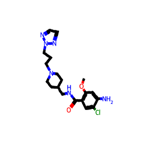 COc1cc(N)c(Cl)cc1C(=O)NCC1CCN(CCCn2nccn2)CC1